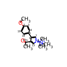 COc1ccc(-c2cn([N+](C)(C)C)cc2C(C)=O)cc1